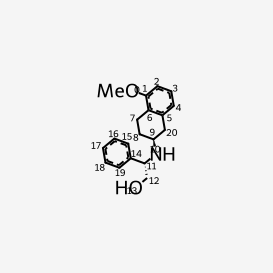 COc1cccc2c1CC[C@H](N[C@H](CO)c1ccccc1)C2